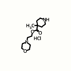 CC1(C(=O)OCCN2CCOCC2)CCNCC1.Cl